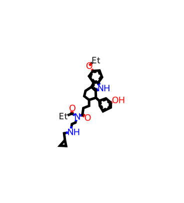 CCOc1ccc2[nH]c3c(c2c1)CCC(CCC(=O)N(CCNCC1CC1)C(=O)CC)C3c1cccc(O)c1